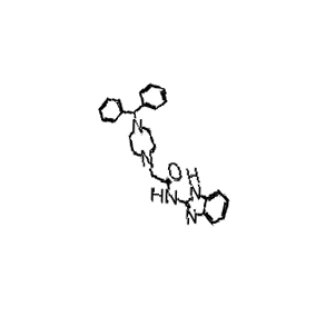 O=C(CN1CCN(C(c2ccccc2)c2ccccc2)CC1)Nc1nc2ccccc2[nH]1